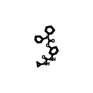 O=C(Nc1cccc(OC(=O)N(c2ccccc2)c2ccccc2)c1)NC1CC1